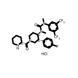 CN(C(=O)N(C)[C@@H]1CCN(C(=O)[C@H]2CCCCN2)C[C@H]1c1ccc(F)cc1)c1cc(C(F)(F)F)cc(C(F)(F)F)c1.Cl